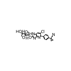 N#CC1(c2ccc(-c3nc4nc(O[C@@H]5CO[C@H]6[C@@H]5OC[C@H]6O)[nH]c4cc3Cl)cc2)CC1